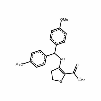 COC(=O)C1=C(NC(c2ccc(OC)cc2)c2ccc(OC)cc2)CCS1